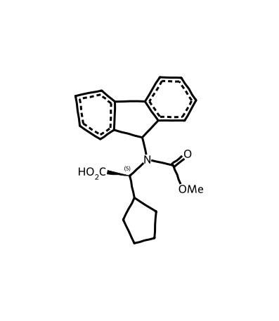 COC(=O)N(C1c2ccccc2-c2ccccc21)[C@H](C(=O)O)C1CCCC1